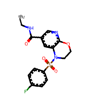 CC(C)(C)CNC(=O)c1cnc2c(c1)N(S(=O)(=O)c1ccc(F)cc1)CCO2